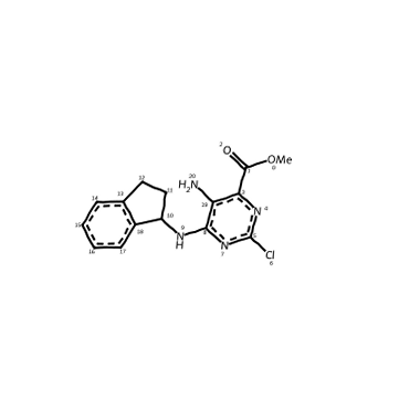 COC(=O)c1nc(Cl)nc(NC2CCc3ccccc32)c1N